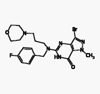 Cn1nc(Br)c2nc(N(CCCN3CCOCC3)Cc3ccc(F)cc3)[nH]c(=O)c21